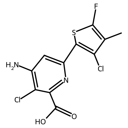 Cc1c(F)sc(-c2cc(N)c(Cl)c(C(=O)O)n2)c1Cl